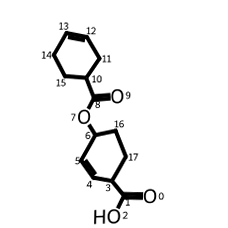 O=C(O)C1C=CC(OC(=O)C2CC=CCC2)CC1